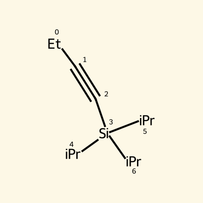 [CH2]CC#C[Si](C(C)C)(C(C)C)C(C)C